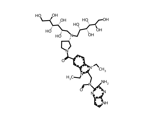 CCn1c(CN(C=O)c2nc3cc[nH]c3nc2N)[n+](CC)c2ccc(C(=O)N3CC[C@H](N(C[C@H](O)[C@@H](O)[C@H](O)[C@H](O)CO)C[C@H](O)[C@@H](O)[C@H](O)[C@H](O)CO)C3)cc21